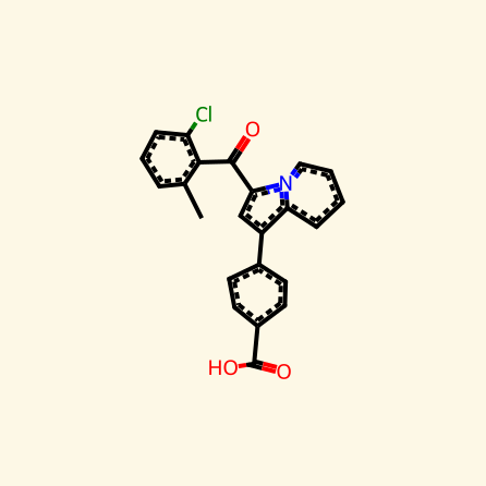 Cc1cccc(Cl)c1C(=O)c1cc(-c2ccc(C(=O)O)cc2)c2ccccn12